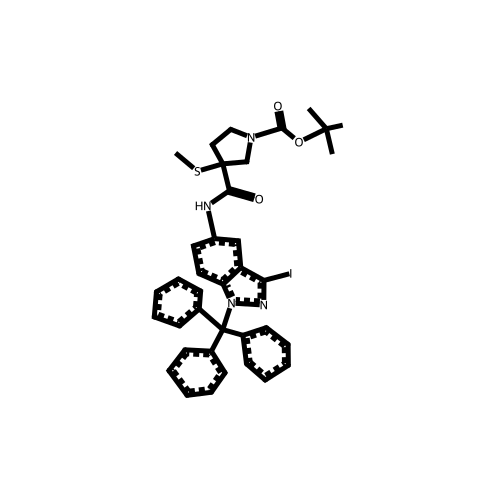 CSC1(C(=O)Nc2ccc3c(c2)c(I)nn3C(c2ccccc2)(c2ccccc2)c2ccccc2)CCN(C(=O)OC(C)(C)C)C1